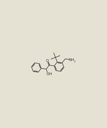 CC(C)(C)c1c(CN)cccc1C(=O)C(O)c1ccccc1